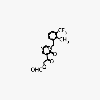 Cc1c(Cn2cncc(C(=O)COC=O)c2=O)cccc1C(F)(F)F